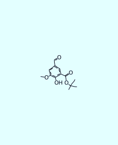 COc1cc(C=O)cc(C(=O)OC(C)(C)C)c1O